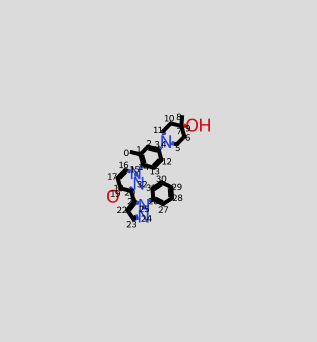 Cc1cc(N2CCC(C)(O)CC2)ccc1-n1ccc(=O)c(-c2ccnn2-c2ccccc2)n1